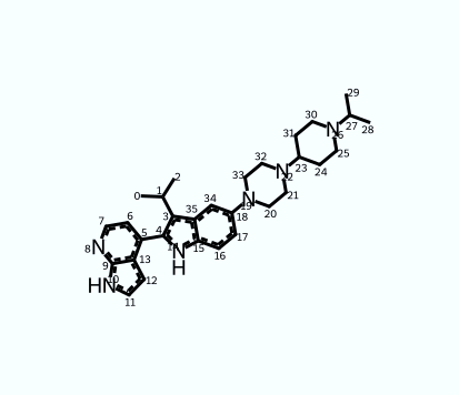 CC(C)c1c(-c2ccnc3[nH]ccc23)[nH]c2ccc(N3CCN(C4CCN(C(C)C)CC4)CC3)cc12